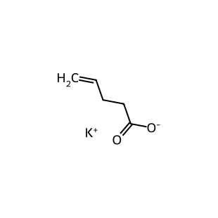 C=CCCC(=O)[O-].[K+]